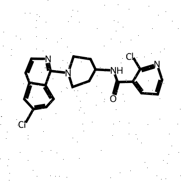 O=C(NC1CCN(c2nccc3cc(Cl)ccc23)CC1)c1cccnc1Cl